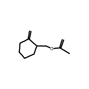 C=C(C)OCC1CCCCC1=C